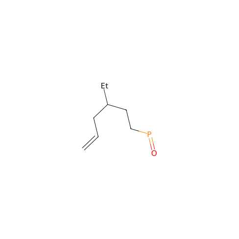 C=CCC(CC)CCP=O